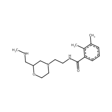 CNCC1CN(CCNC(=O)c2cccc(C)c2C)CCO1